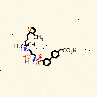 CC1C=CSC1CCCC(C)(C)NC[C@@H](O)CN(C)S(=O)(=O)c1cccc(-c2ccc(CC(=O)O)cc2)c1